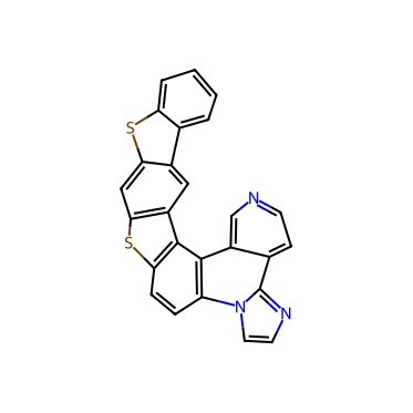 c1ccc2c(c1)sc1cc3sc4ccc5c(c6cnccc6c6nccn56)c4c3cc12